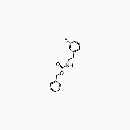 O=C(NCCc1cccc(F)c1)OCc1ccccc1